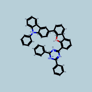 c1ccc(C2=NC(c3cccc4c3oc3c(-c5ccc6c(c5)c5ccccc5n6-c5ccccc5)cccc34)=NC(c3ccccc3)N2)cc1